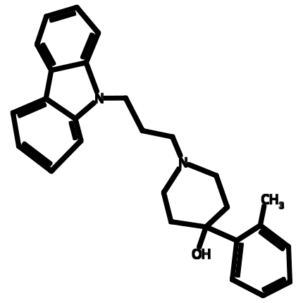 Cc1ccccc1C1(O)CCN(CCCn2c3ccccc3c3ccccc32)CC1